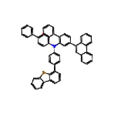 c1ccc(-c2ccc(N(c3ccc(-c4cccc5c4sc4ccccc45)cc3)c3cc(-c4cc5ccccc5c5ccccc45)ccc3-c3ccccc3)cc2)cc1